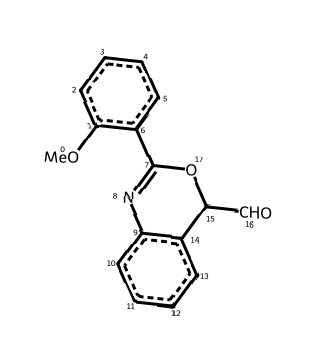 COc1ccccc1C1=Nc2ccccc2C(C=O)O1